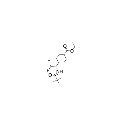 CC(C)OC(=O)C1CCC([C@H](N[S+]([O-])C(C)(C)C)C(F)F)CC1